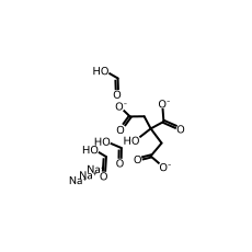 O=C([O-])CC(O)(CC(=O)[O-])C(=O)[O-].O=CO.O=CO.O=CO.[Na+].[Na+].[Na+]